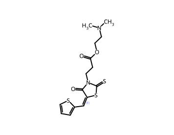 CN(C)CCOC(=O)CCN1C(=O)/C(=C\c2cccs2)SC1=S